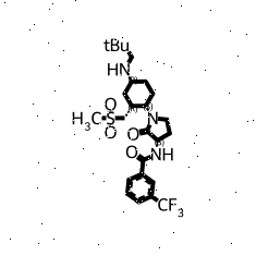 CC(C)(C)CN[C@@H]1CC[C@H](N2CC[C@H](NC(=O)c3cccc(C(F)(F)F)c3)C2=O)[C@H](CS(C)(=O)=O)C1